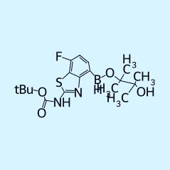 CC(C)(C)OC(=O)Nc1nc2c(BOC(C)(C)C(C)(C)O)ccc(F)c2s1